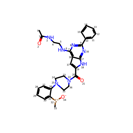 CC(=O)NCCNc1nc(-c2ccccc2)nc2[nH]c(C(=O)N3CCN(c4ccccc4[S+](C)[O-])CC3)cc12